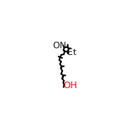 CCC1(C)C(CCC(C)(C)CCC/C(C)=C/CC/C(C)=C/CCC(C)O)=CC(N=O)C(C)=C1C